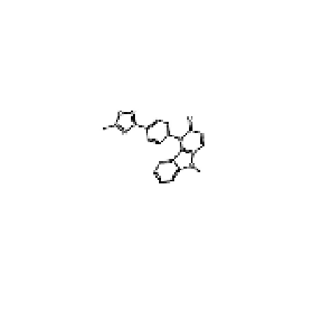 Cc1nc(-c2ccc(-n3c(=O)ccc4c3c3ccccc3n4C)cc2)no1